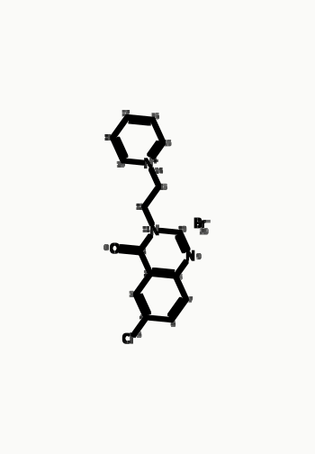 O=c1c2cc(Cl)ccc2ncn1CC[n+]1ccccc1.[Br-]